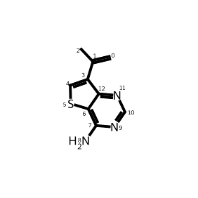 C=C(C)c1csc2c(N)ncnc12